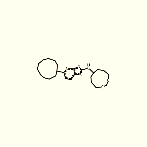 B(c1nc2nc(C3CCCCCCCCCC3)ccc2s1)C1CCCCCCCCC1